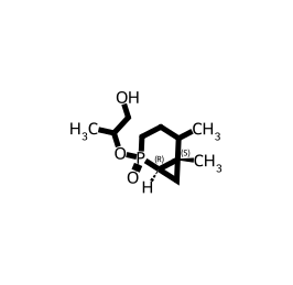 CC(CO)OP1(=O)CCC(C)[C@]2(C)C[C@H]21